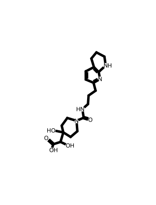 O=C(O)C(O)C1(O)CCN(C(=O)NCCCc2ccc3c(n2)NCCC3)CC1